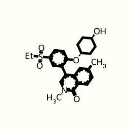 CCS(=O)(=O)c1ccc(O[C@H]2CC[C@H](O)CC2)c(-c2cn(C)c(=O)c3ccc(C)cc23)c1